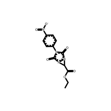 CCOC(=O)C1n2c(=O)n(-c3ccc([N+](=O)[O-])cc3)c(=O)n21